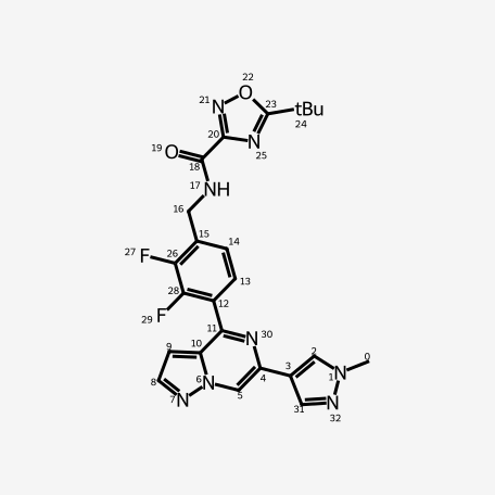 Cn1cc(-c2cn3nccc3c(-c3ccc(CNC(=O)c4noc(C(C)(C)C)n4)c(F)c3F)n2)cn1